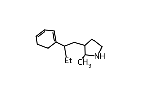 CCC(CC1CCN[C@H]1C)C1=CC=CCC1